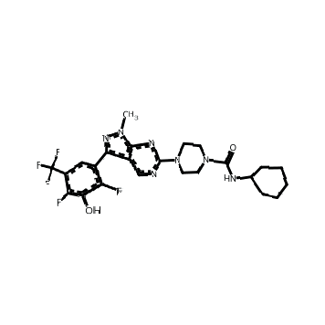 Cn1nc(-c2cc(C(F)(F)F)c(F)c(O)c2F)c2cnc(N3CCN(C(=O)NC4CCCCC4)CC3)nc21